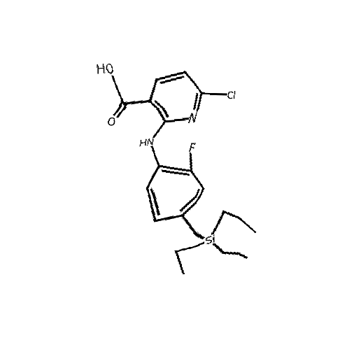 CC[Si](CC)(CC)c1ccc(Nc2nc(Cl)ccc2C(=O)O)c(F)c1